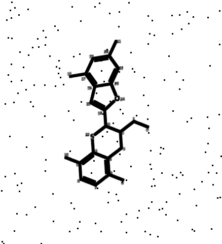 CCC1Cc2c(C)ccc(C)c2SC1c1cc2c(C)cc(C)cc2o1